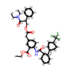 CCOC(=O)c1cc(CC(=O)OCC(C(=O)N(CC)CC)c2ccccc2)ccc1NC(=O)c1ccccc1-c1ccc(C(F)(F)F)cc1